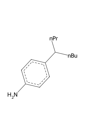 CCCCC(CCC)c1ccc(N)cc1